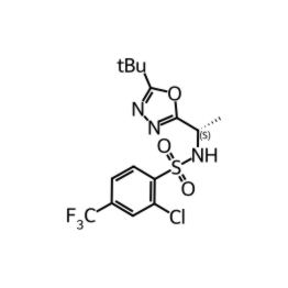 C[C@H](NS(=O)(=O)c1ccc(C(F)(F)F)cc1Cl)c1nnc(C(C)(C)C)o1